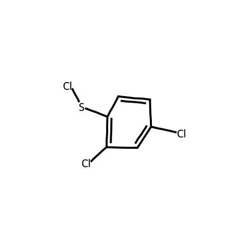 ClSc1ccc(Cl)cc1Cl